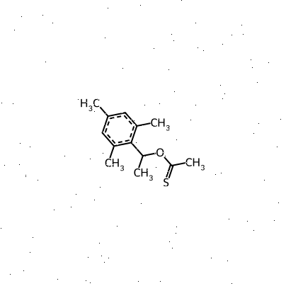 CC(=S)OC(C)c1c(C)cc(C)cc1C